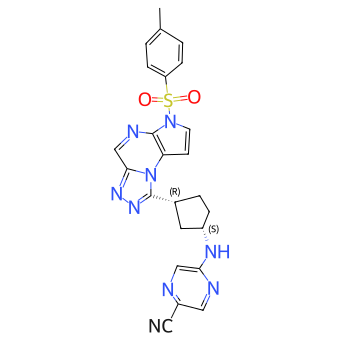 Cc1ccc(S(=O)(=O)n2ccc3c2ncc2nnc([C@@H]4CC[C@H](Nc5cnc(C#N)cn5)C4)n23)cc1